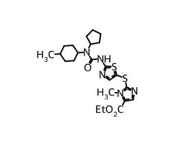 CCOC(=O)c1cnc(Sc2cnc(NC(=O)N(C3CCCC3)C3CCC(C)CC3)s2)n1C